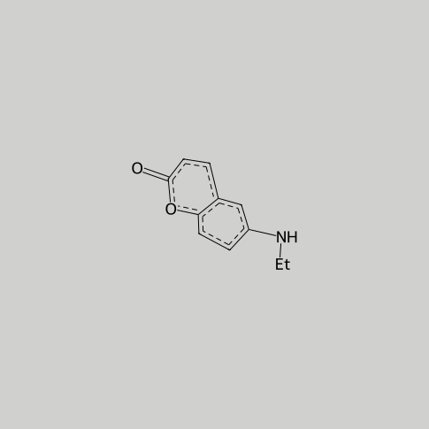 CCNc1ccc2oc(=O)ccc2c1